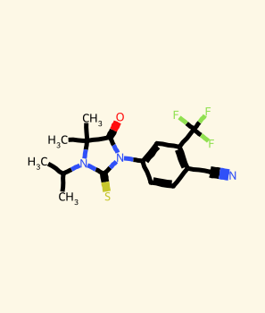 CC(C)N1C(=S)N(c2ccc(C#N)c(C(F)(F)F)c2)C(=O)C1(C)C